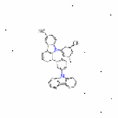 CC1C=C(N2C3=C(C=CCC3c3cccc(-n4c5c(c6ccccc64)=CCCC=5)c3)C3C=C(C#N)C=CC32)C=C(C#N)C1